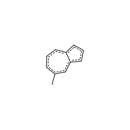 [CH2]c1cccc2cccc-2c1